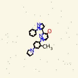 Cc1cc(N2CC=CC2)ccc1-n1ccc(=O)c(-c2ccnn2-c2ccccc2)n1